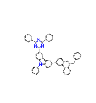 c1ccc(Cc2cc3ccc(-c4ccc5c(c4)c4cc(-c6nc(-c7ccccc7)nc(-c7ccccc7)n6)ccc4n5-c4ccccc4)cc3c3ccccc23)cc1